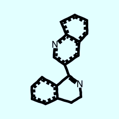 c1ccc2c(c1)CCN=C2c1cnc2ccccc2c1